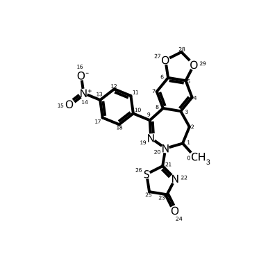 CC1Cc2cc3c(cc2C(c2ccc([N+](=O)[O-])cc2)=NN1C1=NC(=O)CS1)OCO3